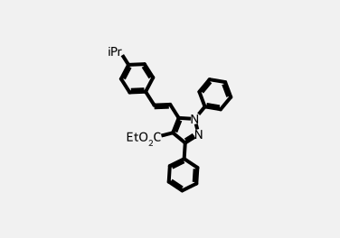 CCOC(=O)c1c(-c2ccccc2)nn(-c2ccccc2)c1/C=C/c1ccc(C(C)C)cc1